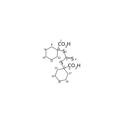 O=C(O)C1(SC(=S)SC2(C(=O)O)CCCCC2)CCCCC1